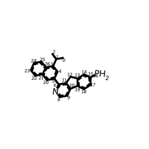 CC(C)c1cc(-c2nccc3c2Cc2cc(P)ccc2-3)cc2ccccc12